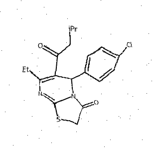 CCC1=C(C(=O)CC(C)C)C(c2ccc(Cl)cc2)N2C(=O)CSC2=N1